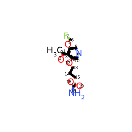 CC(=O)c1c(OCF)cncc1OCCCOC(N)=O